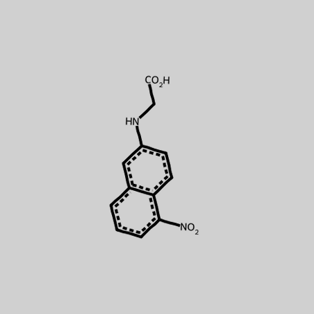 O=C(O)CNc1ccc2c([N+](=O)[O-])cccc2c1